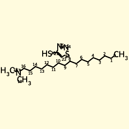 CCCCCCCCCCCCCCCCCN(C)C.Sc1csnn1